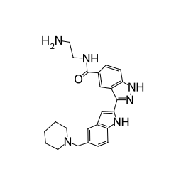 NCCNC(=O)c1ccc2[nH]nc(-c3cc4cc(CN5CCCCC5)ccc4[nH]3)c2c1